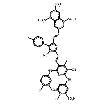 Cc1ccc(-c2c(N=Nc3cc(S(=O)(=O)O)c4cc(S(=O)(=O)O)cc(S(=O)(=O)O)c4c3)sc(N=Nc3c(Nc4ccc(Cl)c(S(=O)(=O)O)c4)nc(Nc4ccc(Cl)c(S(=O)(=O)O)c4)c(C#N)c3C)c2C#N)cc1